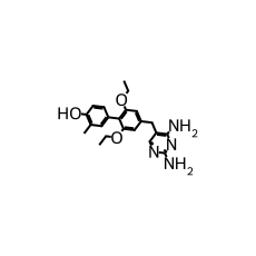 CCOc1cc(Cc2cnc(N)nc2N)cc(OCC)c1-c1ccc(O)c(C)c1